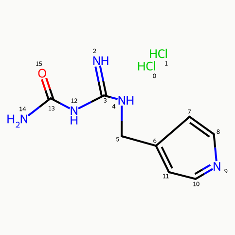 Cl.Cl.N=C(NCc1ccncc1)NC(N)=O